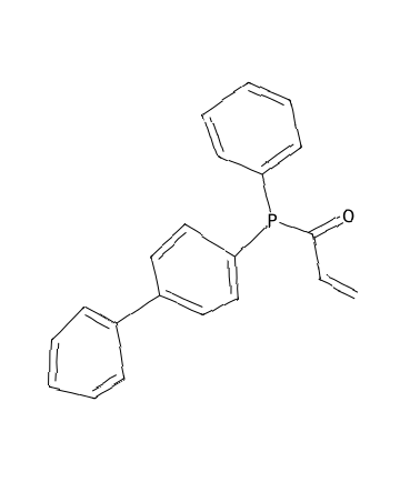 C=CC(=O)P(c1ccccc1)c1ccc(-c2ccccc2)cc1